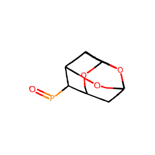 O=PC1C2CC3OC(CC1O3)O2